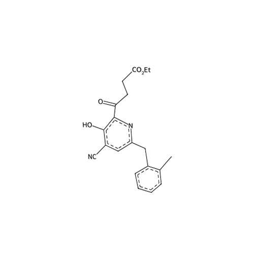 CCOC(=O)CCC(=O)c1nc(Cc2ccccc2C)cc(C#N)c1O